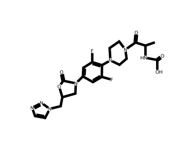 CC(NC(=O)O)C(=O)N1CCN(c2c(F)cc(N3CC(Cn4ccnn4)OC3=O)cc2F)CC1